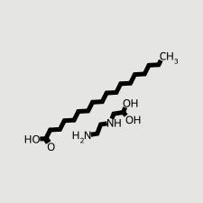 CCCCCCCCCCCCCCCCCC(=O)O.NCCNCC(O)O